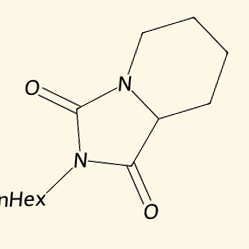 CCCCCCN1C(=O)C2CCCCN2C1=O